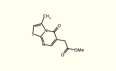 COC(=O)Cc1cnc2scc(C)n2c1=O